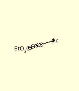 CCOC(=O)COCCOCCOCCOCCOCCCCCCCCCCCSC(C)=O